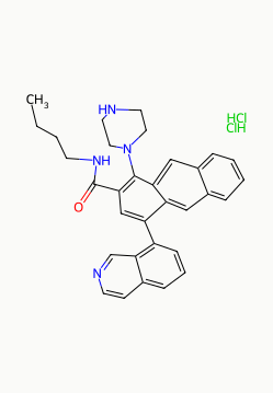 CCCCNC(=O)c1cc(-c2cccc3ccncc23)c2cc3ccccc3cc2c1N1CCNCC1.Cl.Cl